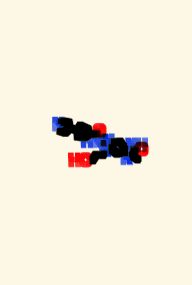 Cc1nc2cc3c(cc2[nH]c1=O)nc(NC(=O)c1ccc(-c2ccncc2)cc1)n3CCCO